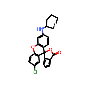 O=C1OC2(c3ccc(NC4CCCCC4)cc3Oc3ccc(Cl)cc32)c2ccccc21